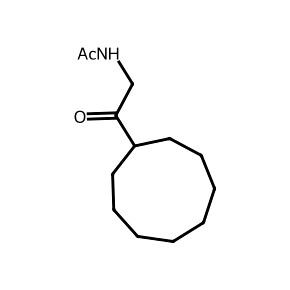 CC(=O)NCC(=O)C1CCCCCCCC1